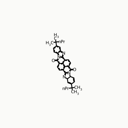 CCCC(C)(C)C1=CC2N=c3c4ccc5c(=O)n6c7ccc(C(C)(C)CCC)cc7nc6c6ccc(c(=O)n3C2C=C1)c4c56